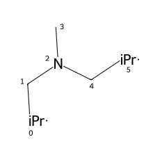 C[C](C)CN(C)C[C](C)C